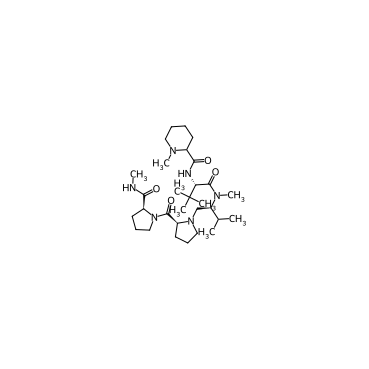 CNC(=O)[C@@H]1CCCN1C(=O)[C@@H]1CCCN1C[C@H](C(C)C)N(C)C(=O)[C@@H](NC(=O)C1CCCCN1C)C(C)(C)C